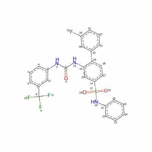 O=C(Nc1cccc(C(F)(F)F)c1)Nc1cc(S(=O)(=O)Nc2ccccc2)ccc1-c1cccc(F)c1